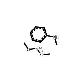 CNc1ccccc1.CO[SiH2]OC